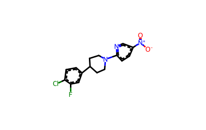 O=[N+]([O-])c1ccc(N2CCC(c3ccc(Cl)c(F)c3)CC2)nc1